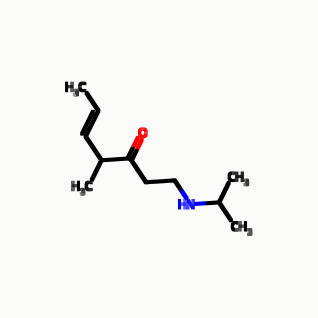 CC=CC(C)C(=O)CCNC(C)C